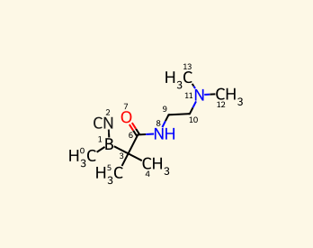 CB(C#N)C(C)(C)C(=O)NCCN(C)C